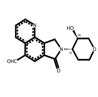 O=Cc1cc2c(c3ncccc13)CN([C@H]1CCOC[C@@H]1O)C2=O